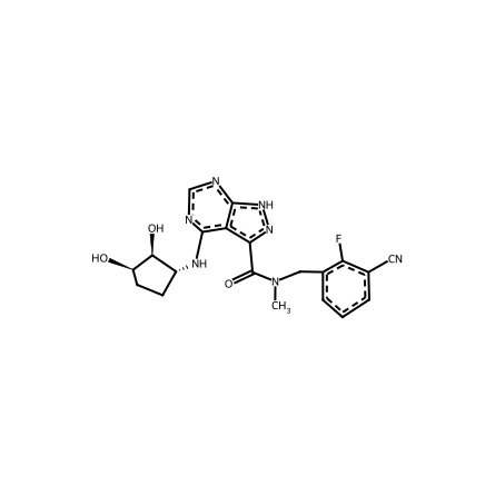 CN(Cc1cccc(C#N)c1F)C(=O)c1n[nH]c2ncnc(N[C@@H]3CC[C@@H](O)[C@H]3O)c12